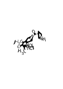 Cc1nc2c(c(C)c1Cl)CN(C(=O)[C@@H]1CCNC1)C2.Cl.Cl